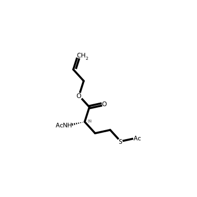 C=CCOC(=O)[C@H](CCSC(C)=O)NC(C)=O